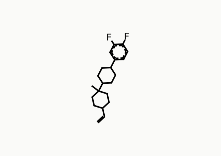 C=CC1CCC(C)(C2CCC(c3ccc(F)c(F)c3)CC2)CC1